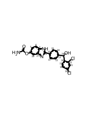 NC(=O)Oc1ccc2[nH]c(-c3ccc(C(O)c4ccc(Cl)cc4Cl)cc3)nc2c1